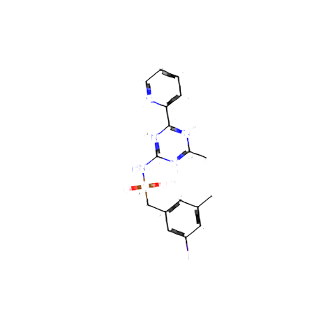 Cc1cc(I)cc(CS(=O)(=O)Nc2nc(C)nc(-c3ccccn3)n2)c1